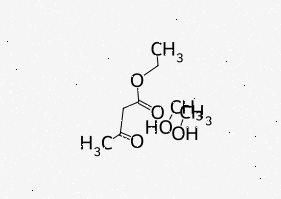 CCOC(=O)CC(C)=O.CO.CO